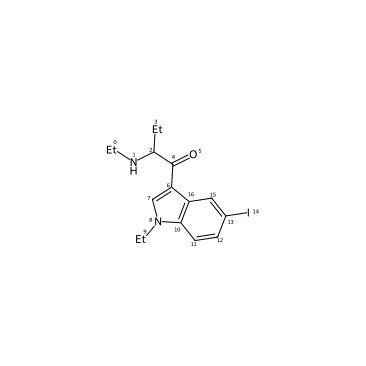 CCNC(CC)C(=O)c1cn(CC)c2ccc(I)cc12